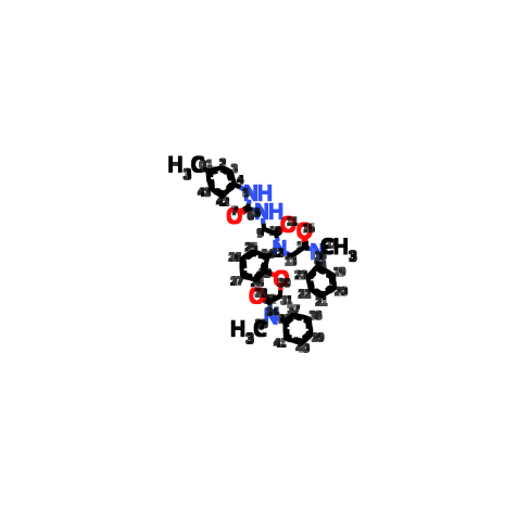 Cc1ccc(NC(=O)NCC(=O)N(CC(=O)N(C)c2ccccc2)c2ccccc2OCC(=O)N(C)c2ccccc2)cc1